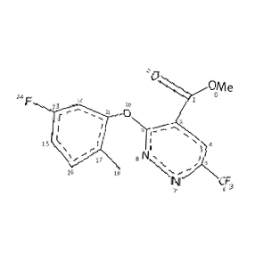 COC(=O)c1cc(C(F)(F)F)nnc1Oc1cc(F)ccc1C